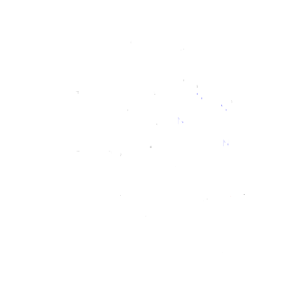 CCOC(=O)Cc1nnnn1C(c1ccccc1)(c1ccccc1)c1ccccc1